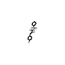 O=C(C=Cc1ccc(F)cc1)NS(=O)(=O)c1ccccc1